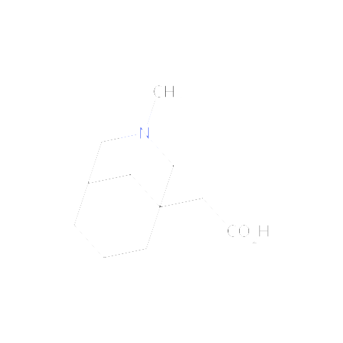 CN1CC2CCCC(CC(=O)O)(C2)C1